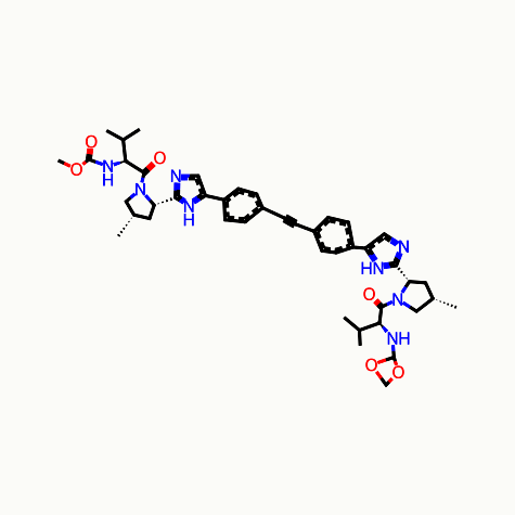 COC(=O)N[C@H](C(=O)N1C[C@@H](C)C[C@H]1c1ncc(-c2ccc(C#Cc3ccc(-c4cnc([C@@H]5C[C@H](C)CN5C(=O)[C@@H](NC5OCO5)C(C)C)[nH]4)cc3)cc2)[nH]1)C(C)C